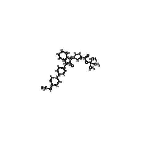 COc1ccc(-c2ccc(-n3c(=O)n([C@H]4CCN(C(=O)OC(C)(C)C)C4)c4ncccc43)cc2)cc1